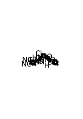 CCC(Oc1ccc(C)cc1C)C(=O)Nc1ccc(Cl)c(NC(=O)NNc2cc(C#N)c(C#N)cc2C)c1